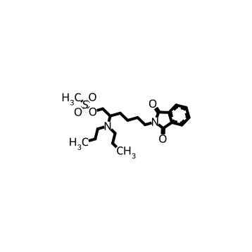 CCCN(CCC)C(CCCCN1C(=O)c2ccccc2C1=O)COS(C)(=O)=O